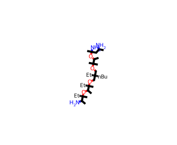 CCCCC(CC)(COC(C)(C)C(C)OC(C)(N)CC(C)N)COC(C)(CC)C(C)OC(C)(CC)C(C)N